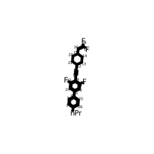 CCCc1ccc(-c2cc(F)c(C#CC3CCC(C=C(F)F)CC3)c(F)c2)cc1